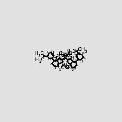 CC(C)c1cccc(-c2cccc3c2C=C2[CH]3[Hf]([CH3])([CH3])[CH]3C(=Cc4c(-c5cccc(C(C)C)c5)cccc43)[Si]2(C(C)(C)C)C(C)(C)C)c1